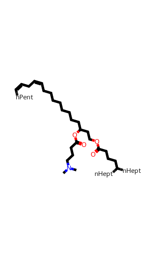 CCCCC/C=C\C/C=C\CCCCCCCCC(CCOC(=O)CCCC(CCCCCCC)CCCCCCC)OC(=O)CCCN(C)C